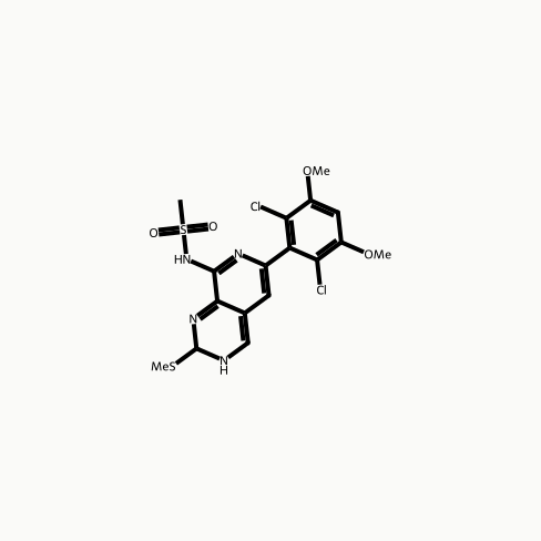 COc1cc(OC)c(Cl)c(-c2cc3c(c(NS(C)(=O)=O)n2)=NC(SC)NC=3)c1Cl